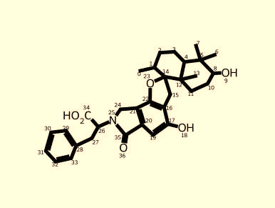 CC1CCC2C(C)(C)C(O)CCC2(C)C12Cc1c(O)cc3c(c1O2)CN(C(Cc1ccccc1)C(=O)O)C3=O